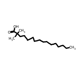 CCCCCCCCCCCCCCC(C)(C)C(=O)O